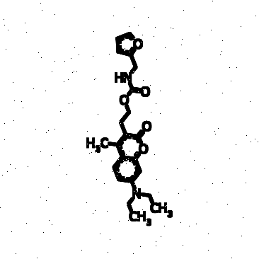 CCN(CC)c1ccc2c(C)c(CCOC(=O)NCc3ccco3)c(=O)oc2c1